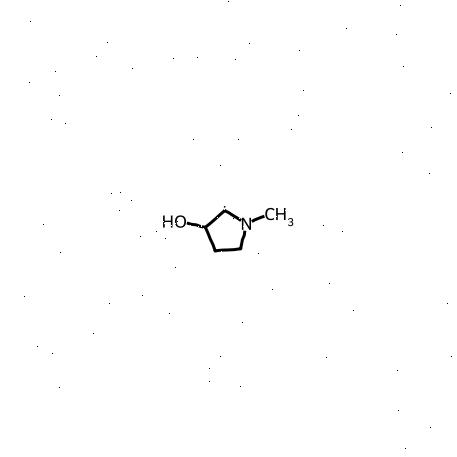 CN1[CH]C(O)CC1